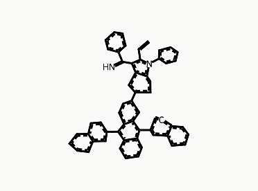 C=Cc1c(C(=N)c2ccccc2)c2cc(-c3ccc4c(-c5ccc6ccccc6c5)c5ccccc5c(-c5ccc6ccccc6c5)c4c3)ccc2n1-c1ccccc1